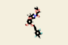 COc1ccc([C@@H]2CN(C(=O)C3COC(C)(C)O3)C[C@@]2(C)[C@@H](C)O)cc1OCC#Cc1cc(F)c(C)c(F)c1F